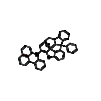 C1=CCC2C(=C1)C(c1ccccc1)(c1cccc3sc4c(N(c5ccccc5)c5ccccc5-c5ccccc5)cccc4c13)c1ccccc12